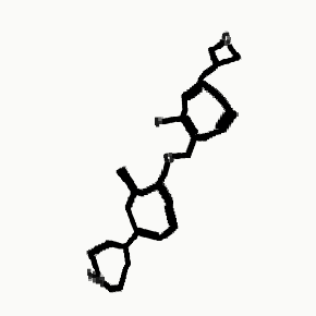 C=C1CC(C2CCNCC2)=CC=CC1OCc1ccc(C2COC2)cc1F